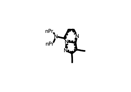 CCCN(CCC)c1ccnc2c(C)c(C)nn12